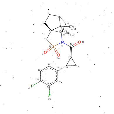 CC1(C)C2CC[C@@]13CS(=O)(=O)N(C(=O)[C@H]1C[C@@H]1c1ccc(F)c(F)c1)[C@@H]3C2